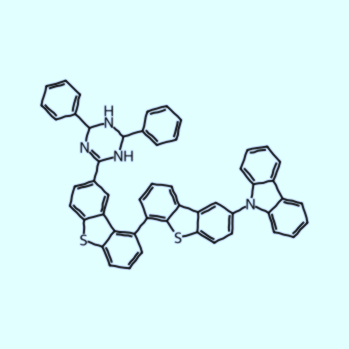 c1ccc(C2N=C(c3ccc4sc5cccc(-c6cccc7c6sc6ccc(-n8c9ccccc9c9ccccc98)cc67)c5c4c3)NC(c3ccccc3)N2)cc1